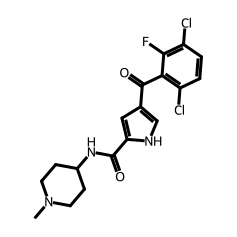 CN1CCC(NC(=O)c2cc(C(=O)c3c(Cl)ccc(Cl)c3F)c[nH]2)CC1